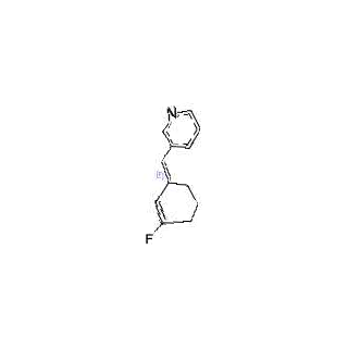 FC1=C/C(=C/c2cccnc2)CCC1